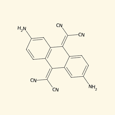 [C-]#[N+]/C(C#N)=c1\c2cc(N)ccc2/c(=C(/C#N)[N+]#[C-])c2cc(N)ccc12